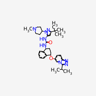 CC(C)c1nnc2ccc(O[C@@H]3CC[C@H](NC(=O)Nc4cc(C(C)(C)C)nn4C4CCN(C)CC4)c4ccccc43)cn12